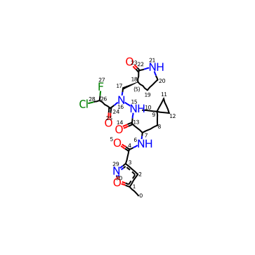 Cc1cc(C(=O)NC(CC2(C)CC2)C(=O)NN(C[C@@H]2CCNC2=O)C(=O)C(F)Cl)no1